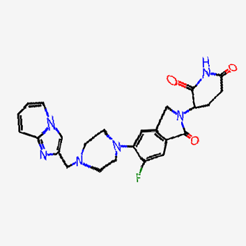 O=C1CCC(N2Cc3cc(N4CCN(Cc5cn6ccccc6n5)CC4)c(F)cc3C2=O)C(=O)N1